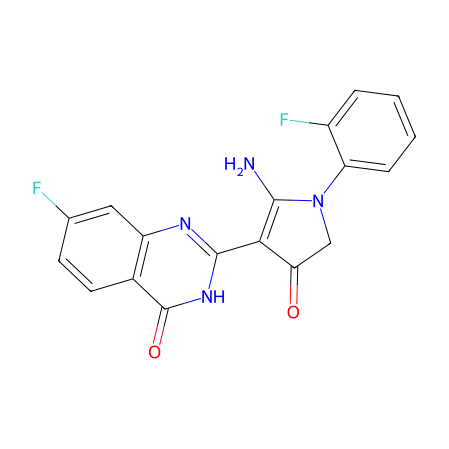 NC1=C(c2nc3cc(F)ccc3c(=O)[nH]2)C(=O)CN1c1ccccc1F